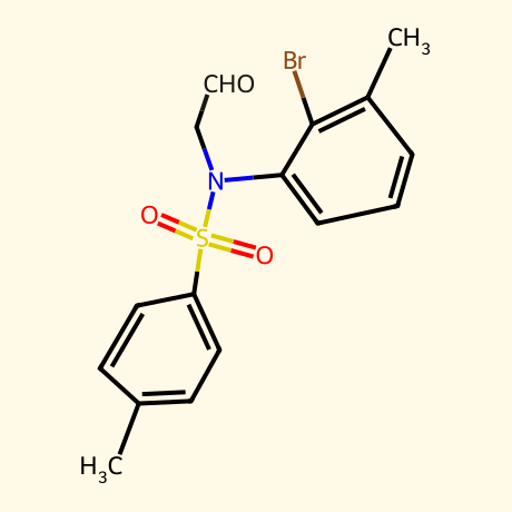 Cc1ccc(S(=O)(=O)N(CC=O)c2cccc(C)c2Br)cc1